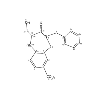 O=C(O)c1ccc2c(c1)CN(Cc1ccccc1)C(=O)[C@@H](CO)N2